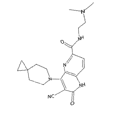 CN(C)CCNC(=O)c1ccc2[nH]c(=O)c(C#N)c(N3CCC4(CC3)CC4)c2n1